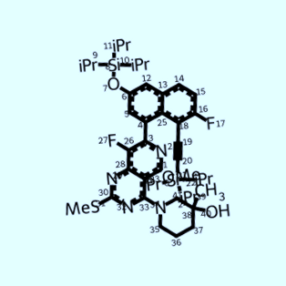 COc1nc(-c2cc(O[Si](C(C)C)(C(C)C)C(C)C)cc3ccc(F)c(C#C[Si](C(C)C)(C(C)C)C(C)C)c23)c(F)c2nc(SC)nc(N3CCCC(C)(O)C3)c12